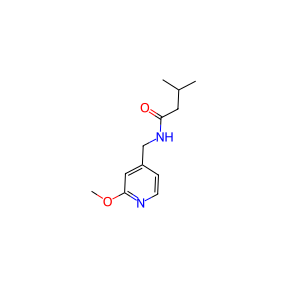 COc1cc(CNC(=O)CC(C)C)ccn1